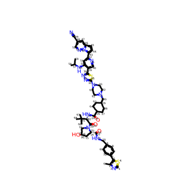 Cc1ncsc1-c1ccc(CNC(=O)[C@@H]2C[C@@H](O)CN2C(=O)[C@@H](NC(=O)C2CCC(CN3CCN(c4nnc(-c5cnc(-c6ccc7cc(C#N)cnn67)cc5NC(C)C)s4)CC3)CC2)C(C)(C)C)cc1